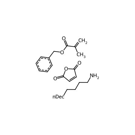 C=C(C)C(=O)OCc1ccccc1.CCCCCCCCCCCCCCN.O=C1C=CC(=O)O1